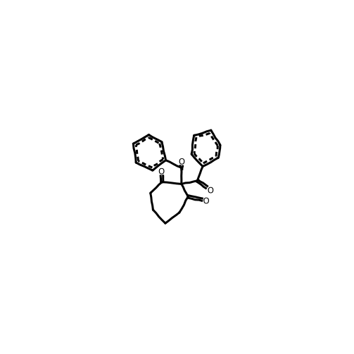 O=C1CCCCC(=O)C1(C(=O)c1ccccc1)C(=O)c1ccccc1